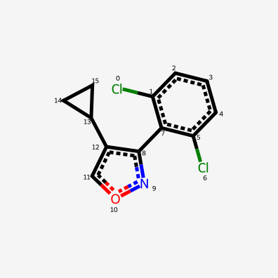 Clc1cccc(Cl)c1-c1nocc1C1CC1